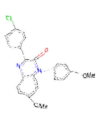 COc1ccc(-n2c(=O)c(-c3ccc(Cl)cc3)nc3ccc(OC)cc32)cc1